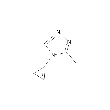 Cc1nncn1C1=CC1